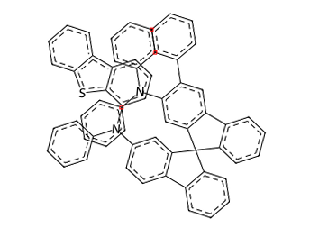 c1ccc(-c2cc3c(cc2N(c2ccccc2)c2ccccc2)C2(c4ccccc4-c4ccc(N(c5ccccc5)c5cccc6c5sc5ccccc56)cc42)c2ccccc2-3)cc1